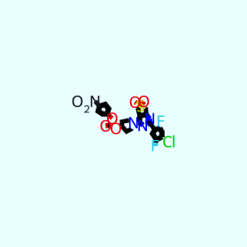 O=C(Oc1ccc([N+](=O)[O-])cc1)OC1CCN(c2nc(-c3cc(F)c(Cl)cc3F)nc3c2CS(=O)(=O)C3)CC1